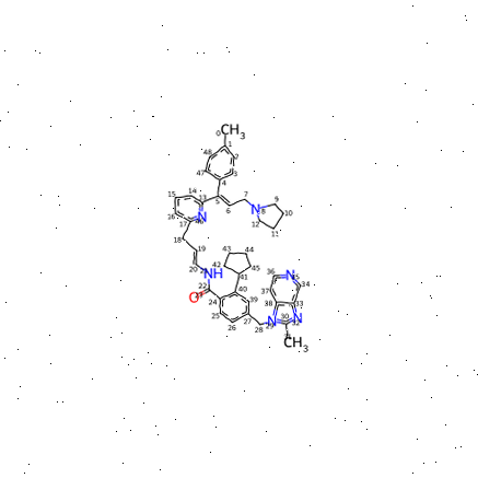 Cc1ccc(C(=CCN2CCCC2)c2cccc(CC=CNC(=O)c3ccc(Cn4c(C)nc5cnccc54)cc3C3CCCC3)n2)cc1